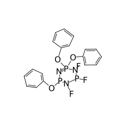 FN1P(Oc2ccccc2)N=P(Oc2ccccc2)(Oc2ccccc2)N(F)P1F